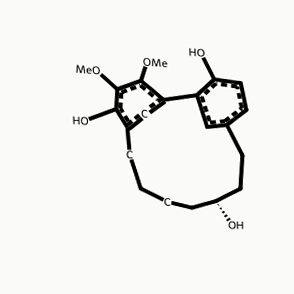 COc1c2cc(c(O)c1OC)CCCC[C@@H](O)CCc1ccc(O)c-2c1